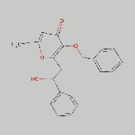 Cc1cc(=O)c(OCc2ccccc2)c(CC(O)c2ccccc2)o1